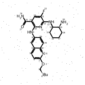 CC[C@H](C)COc1ccc2cc(Nc3nc(NC4CCCC[C@@H]4N)c(F)cc3C(N)=O)ccc2n1